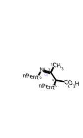 CCCCC/N=C(/C)C(CCCCC)C(=O)O